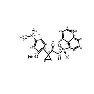 COc1nc(N(C)C)ccc1C1(C(=O)NS(=O)(=O)c2cccc3ncccc23)CC1